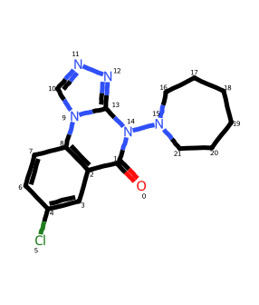 O=c1c2cc(Cl)ccc2n2cnnc2n1N1CCCCCC1